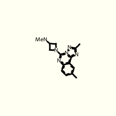 CNC1CN(c2nc3ccc(C)cc3c3nc(C)nn23)C1